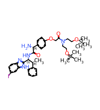 C[C@H](c1ccccc1)[C@H](NC(=O)[C@H](N)c1ccc(OCC(=O)N(CCO[Si](C)(C)C)CCO[Si](C)(C)C)cc1)c1nc2ccc(I)cc2[nH]1